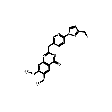 COc1cc2nc(Cc3ccc(-n4ccc(CF)n4)nc3)[nH]c(=O)c2cc1OC